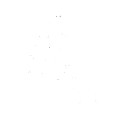 COC(=O)[C@H]1NCCC1CC(COS(C)(=O)=O)NC(=O)OCc1ccccc1